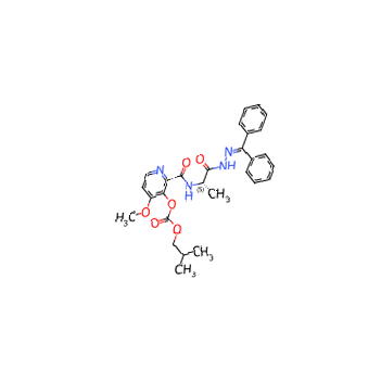 COc1ccnc(C(=O)N[C@@H](C)C(=O)NN=C(c2ccccc2)c2ccccc2)c1OC(=O)OCC(C)C